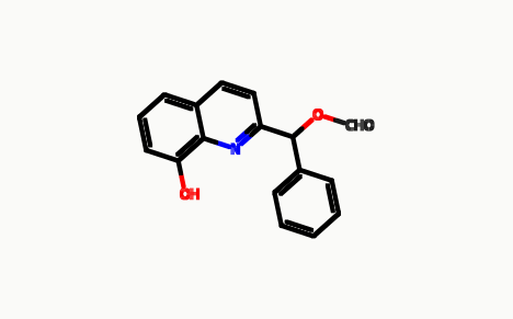 O=COC(c1ccccc1)c1ccc2cccc(O)c2n1